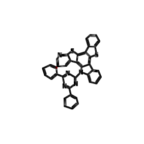 c1ccc(-c2nc(-c3ccccc3)nc(-n3c4ccccc4c4c5sc6ccccc6c5c5sc6ncccc6c5c43)n2)cc1